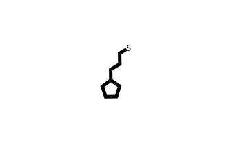 [S]CCCC1CCCC1